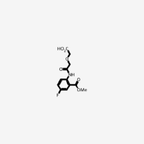 COC(=O)c1cc(F)ccc1NC(=O)COCC(=O)O